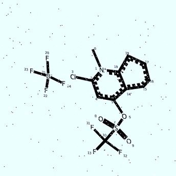 C[n+]1c(Cl)cc(OS(=O)(=O)C(F)(F)F)c2ccccc21.F[B-](F)(F)F